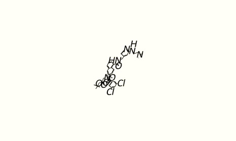 CN(C)CCNc1cc(CNC(=O)c2cccc3cc(N(CC(=O)OC(C)(C)C)S(=O)(=O)c4cc(Cl)cc(Cl)c4)ccc23)ccn1